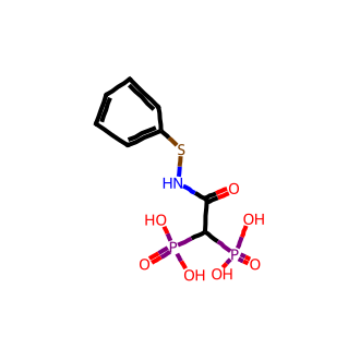 O=C(NSc1ccccc1)C(P(=O)(O)O)P(=O)(O)O